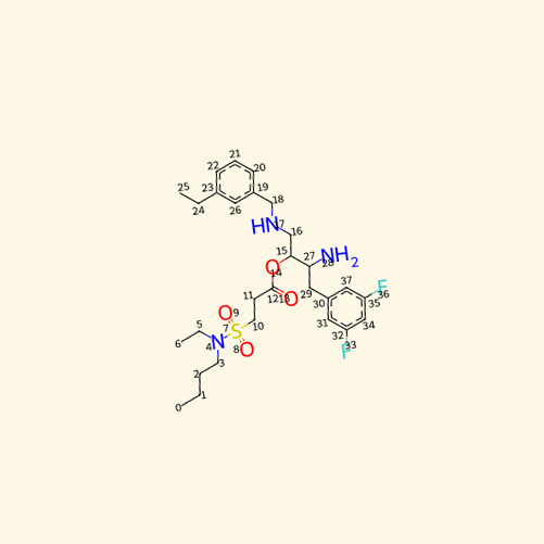 CCCCN(CC)S(=O)(=O)CCC(=O)OC(CNCc1cccc(CC)c1)C(N)Cc1cc(F)cc(F)c1